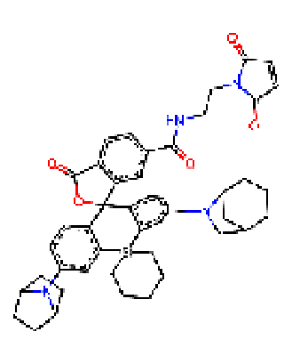 O=C(NCCN1C(=O)C=CC1=O)c1ccc2c(c1)C1(OC2=O)c2ccc(N3CC4CCCC3C4)cc2[Si]2(CCCCC2)c2cc(N3C4CCC3CC4)ccc21